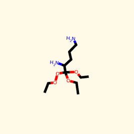 CCOOC(OCC)(OCC)C(N)CCCN